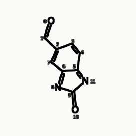 O=Cc1ccc2c(c1)=NC(=O)N=2